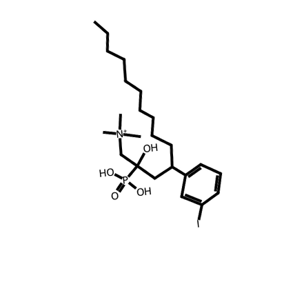 CCCCCCCCCCC(CC(O)(C[N+](C)(C)C)P(=O)(O)O)c1cccc(I)c1